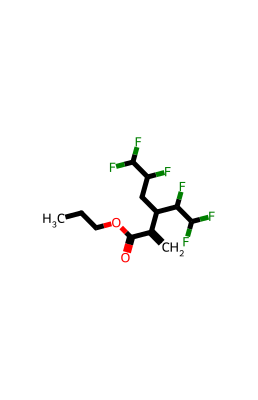 C=C(C(=O)OCCC)C(CC(F)C(F)F)C(F)C(F)F